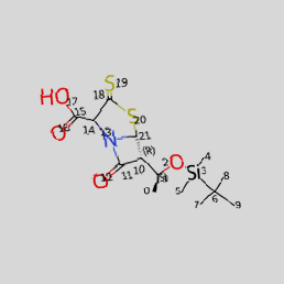 C[C@H](O[Si](C)(C)C(C)(C)C)[C@@H]1C(=O)N2C(C(=O)O)C(=S)SC12